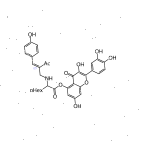 CCCCCCC(NC/C(=C/c1ccc(O)cc1)C(C)=O)C(=O)Oc1cc(O)cc2oc(-c3ccc(O)c(O)c3)c(O)c(=O)c12